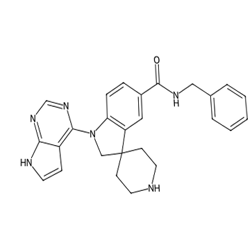 O=C(NCc1ccccc1)c1ccc2c(c1)C1(CCNCC1)CN2c1ncnc2[nH]ccc12